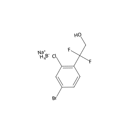 OCC(F)(F)c1ccc(Br)cc1Cl.[BH4-].[Na+]